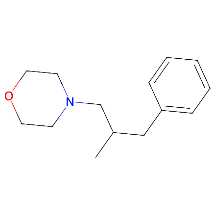 CC(Cc1ccccc1)CN1CCOCC1